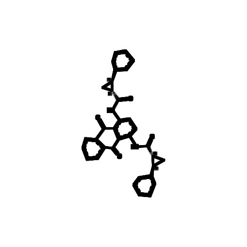 O=C1c2ccccc2C(=O)c2c(NC(=O)[C@@H]3C[C@H]3c3ccccc3)ccc(NC(=O)[C@@H]3C[C@H]3c3ccccc3)c21